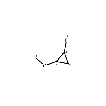 COC1CC1F